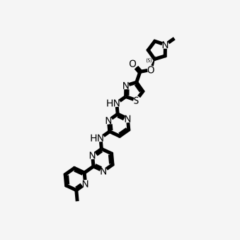 Cc1cccc(-c2nccc(Nc3ccnc(Nc4nc(C(=O)O[C@H]5CCN(C)C5)cs4)n3)n2)n1